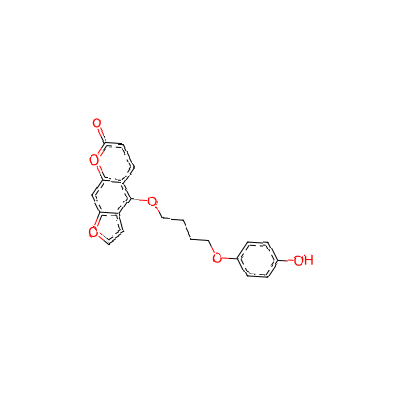 O=c1ccc2c(OCCCCOc3ccc(O)cc3)c3ccoc3cc2o1